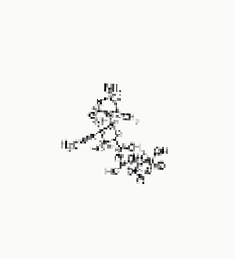 CC#CC1(N)[C@@H](O)C([C@@H](C)OP(=O)(O)OP(=O)(O)OP(=O)(O)O)O[C@H]1n1c(C)cc(N)nc1=O